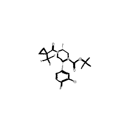 C[C@@H]1CN(C(=O)OC(C)(C)C)[C@H](c2ccc(F)c(Cl)c2)CN1C(=O)C1(C(F)(F)F)CC1